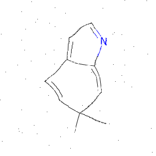 CC1(C)C=CC2=CC=NC2=C1